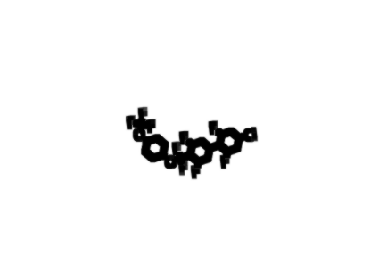 FC1CC(Cl)CC(F)C1C1CC(F)C(C(F)(F)OC2CCC(OC(F)(F)F)CC2)C(F)C1